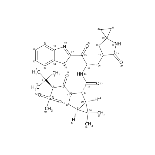 CC(C)(C)[C@@H](C(=O)N1C[C@H]2[C@@H]([C@H]1C(=O)N[C@@H](CC1CC3(CC3)NC1=O)C(=O)c1nc3ccccc3s1)C2(C)C)S(C)(=O)=O